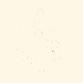 CC[C@H](C)[C@H](NC(=O)[C@@H](NC(=O)[C@@H](NC(=O)[C@@H](NC(=O)c1ccnc(F)c1F)C(C)(C)C)C1CCCCC1)C(C)(C)S(=O)(=O)O)C(=O)N[C@H](C(=O)N[C@@H](CCC(N)=O)C(=O)N[C@@H](Cc1c[nH]cn1)C(=O)N[C@H](CCC(C)C)C(=O)N[C@@H](CO)C(=O)NC)[C@@H](C)O